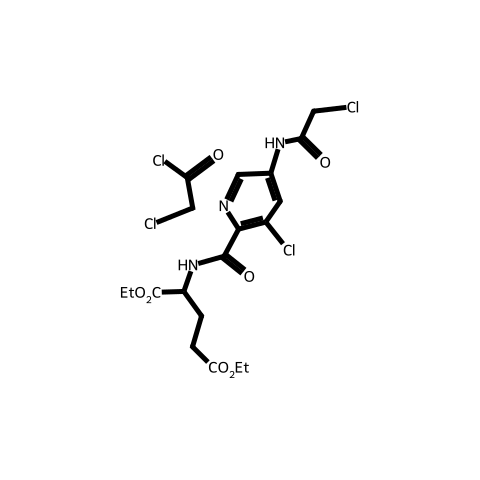 CCOC(=O)CCC(NC(=O)c1ncc(NC(=O)CCl)cc1Cl)C(=O)OCC.O=C(Cl)CCl